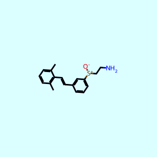 Cc1cccc(C)c1C=Cc1cccc([S+]([O-])CCN)c1